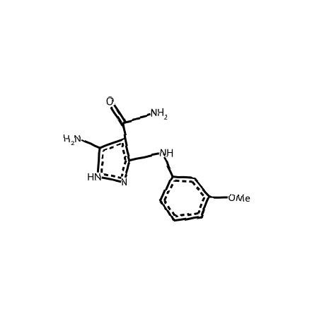 COc1cccc(Nc2n[nH]c(N)c2C(N)=O)c1